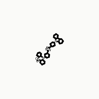 O=S1(=O)c2ccccc2N(c2cccc(-c3nsc(-c4ccc(-n5c6ccccc6c6ccccc65)cc4)n3)c2)c2ccccc21